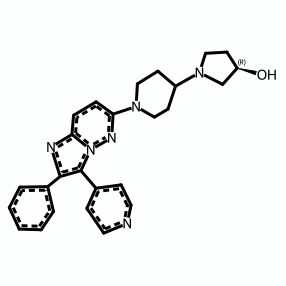 O[C@@H]1CCN(C2CCN(c3ccc4nc(-c5ccccc5)c(-c5ccncc5)n4n3)CC2)C1